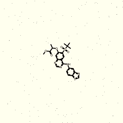 COC(=O)C(C)Oc1cc2ncnc(Nc3ccc4scnc4c3)c2cc1S(=O)(=O)C(C)(C)C